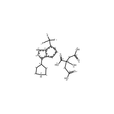 FC(F)(F)c1cccc2c(C3CCNCC3)n[nH]c12.O=C(O)CC(O)(CC(=O)O)C(=O)O